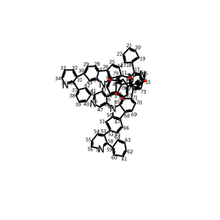 N#Cc1ccc(-c2c(-n3c4cc(-c5cccnc5-c5ccccc5)ccc4c4ccc(-c5cccnc5-c5ccccc5)cc43)cncc2-n2c3cc(-c4cccnc4-c4ccccc4)ccc3c3ccc(-c4cccnc4-c4ccccc4)cc32)cc1